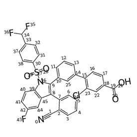 N#Cc1ccccc1-c1c(-c2cccc(-c3ccc(C(=O)O)cc3Cl)c2)n(S(=O)(=O)c2ccc(C(F)F)cc2)c2ccc(F)cc12